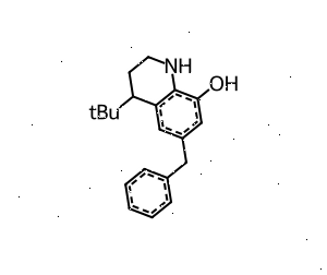 CC(C)(C)C1CCNc2c(O)cc(Cc3ccccc3)cc21